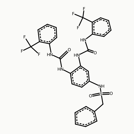 O=C(Nc1ccc(NS(=O)(=O)Cc2ccccc2)cc1NC(=O)Nc1ccccc1C(F)(F)F)Nc1ccccc1C(F)(F)F